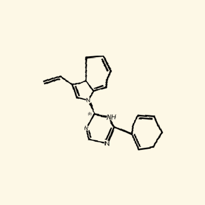 C=CC1=CN([C@@H]2N=CN=C(C3=CCCC=C3)N2)C2=CC=CCC12